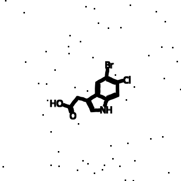 O=C(O)Cc1c[nH]c2cc(Cl)c(Br)cc12